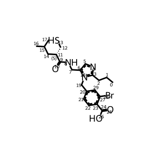 CCCc1ncc(CNC(=O)[C@@H](CS)CC(C)C)n1Cc1ccc(C(=O)O)c(Br)c1